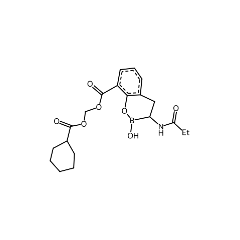 CCC(=O)NC1Cc2cccc(C(=O)OCOC(=O)C3CCCCC3)c2OB1O